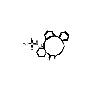 CS(=O)(=O)N[C@H]1CCCN2C(=O)NCCOc3ccccc3-c3cccc(c3)C[C@@H]12